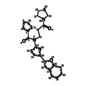 O=C(CCN(C(=O)c1cccs1)c1nc(-c2cc3ccccc3o2)cs1)N1CCSC1